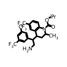 CC(C)OC(=O)N1c2ccc(C(F)(F)F)cc2C(C(CN)c2cc(C(F)(F)F)cc(C(F)(F)F)c2)CC1C